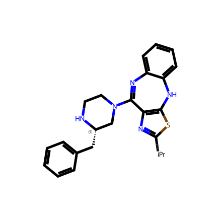 CC(C)c1nc2c(s1)Nc1ccccc1N=C2N1CCN[C@@H](Cc2ccccc2)C1